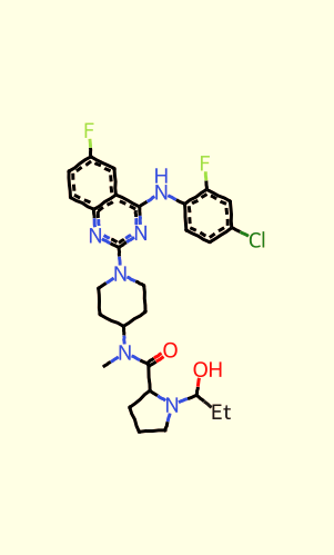 CCC(O)N1CCCC1C(=O)N(C)C1CCN(c2nc(Nc3ccc(Cl)cc3F)c3cc(F)ccc3n2)CC1